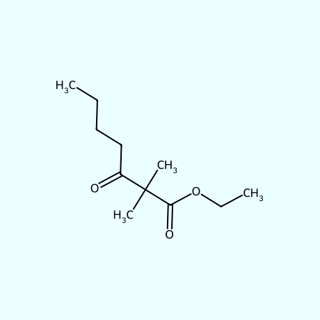 CCCCC(=O)C(C)(C)C(=O)OCC